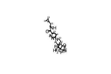 CC(C(=O)N1CCN(c2ccc(C(=O)NCCC3CC3)nn2)CC1)(C(F)(F)F)C(F)(F)F